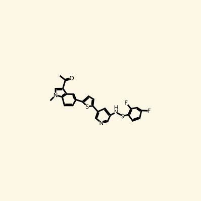 CC(=O)c1cn(C)c2ccc(-c3ccc(-c4cncc(NSc5ccc(F)cc5F)c4)s3)cc12